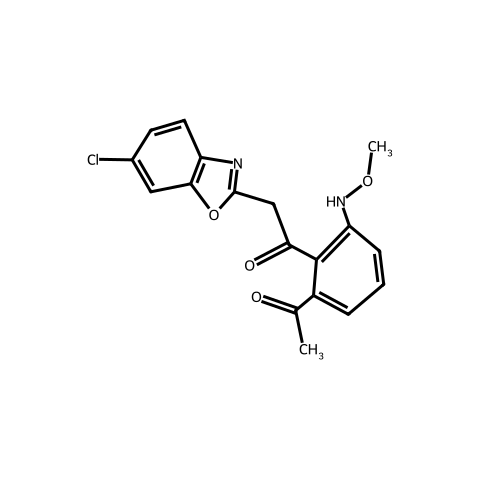 CONc1cccc(C(C)=O)c1C(=O)Cc1nc2ccc(Cl)cc2o1